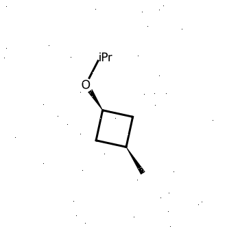 CC(C)O[C@H]1C[C@@H](C)C1